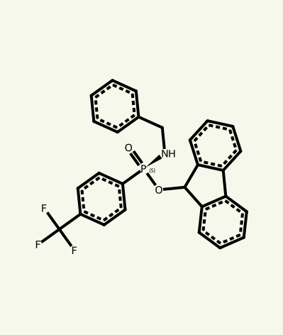 O=[P@](NCc1ccccc1)(OC1c2ccccc2-c2ccccc21)c1ccc(C(F)(F)F)cc1